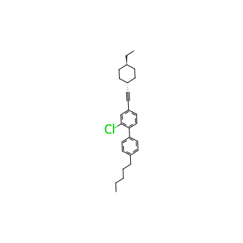 CCCCCc1ccc(-c2ccc(C#C[C@H]3CC[C@H](CC)CC3)cc2Cl)cc1